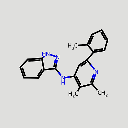 Cc1ccccc1-c1cc(Nc2n[nH]c3ccccc23)c(C)c(C)n1